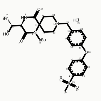 CCCCN1C(=O)[C@@H]([C@H](O)C(C)C)NC(=O)C12CCN(Cc1ccc(Oc3ccc(S(C)(=O)=O)cc3)cc1)CC2.Cl